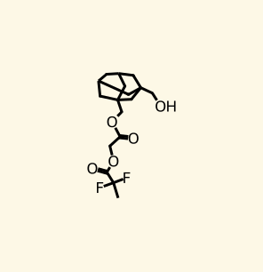 CC(F)(F)C(=O)OCC(=O)OCC12CC3CC(CC(CO)(C3)C1)C2